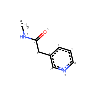 CNC(=O)Cc1c[c]cnc1